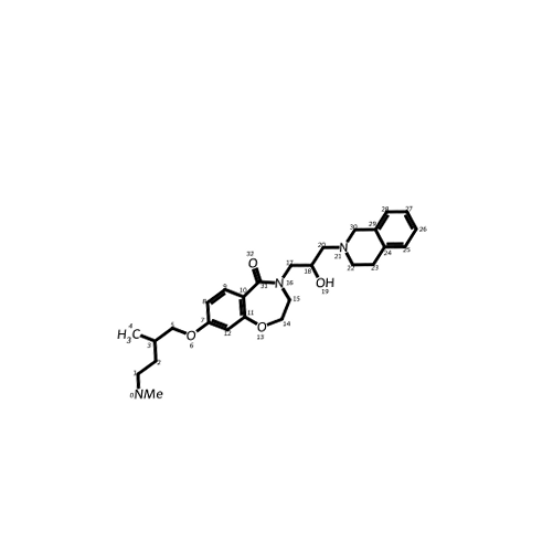 CNCCC(C)COc1ccc2c(c1)OCCN(CC(O)CN1CCc3ccccc3C1)C2=O